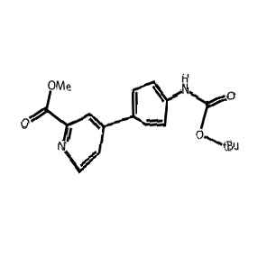 COC(=O)c1cc(-c2ccc(NC(=O)OC(C)(C)C)cc2)ccn1